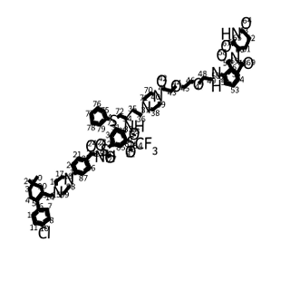 CC1(C)CCC(c2ccc(Cl)cc2)=C(CN2CCN(c3ccc(C(=O)NS(=O)(=O)c4ccc(N[C@H](CCN5CCN(C(=O)COCCOCCNc6cccc7c6C(=O)N(C6CCC(=O)NC6=O)C7=O)CC5)CSc5ccccc5)c(S(=O)(=O)C(F)(F)F)c4)cc3)CC2)C1